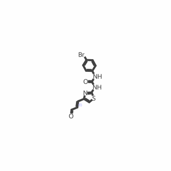 O=C/C=C/c1csc(NC(=O)Nc2ccc(Br)cc2)n1